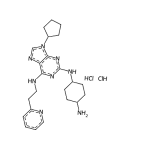 Cl.Cl.NC1CCC(Nc2nc(NCCc3ccccn3)c3ncn(C4CCCC4)c3n2)CC1